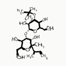 C=CC(C)[C@]1(C)OC(CO)C(O)[C@H](O[C@H]2OC(CO)C(O)[C@@H](OC(C)(C)C)[C@@H]2O)[C@@H]1O